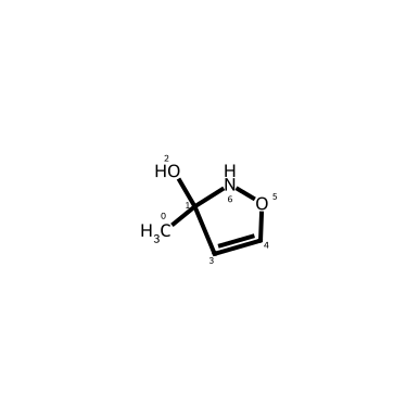 CC1(O)C=CON1